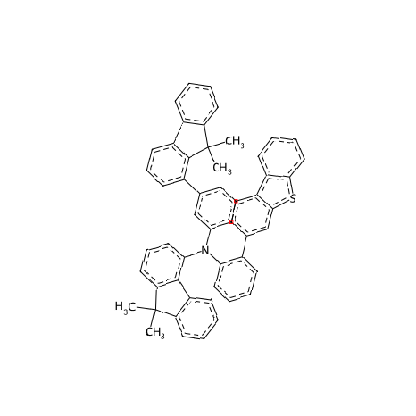 CC1(C)c2ccccc2-c2c(N(c3cccc(-c4cccc5c4C(C)(C)c4ccccc4-5)c3)c3ccccc3-c3ccc4c(c3)sc3ccccc34)cccc21